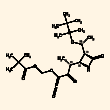 C[C@@H](O[Si](C)(C)C(C)(C)C)[C@H]1C(=O)N[C@H]1[C@@H](C)C(=O)C(=C=O)OCOC(=O)C(C)(C)C